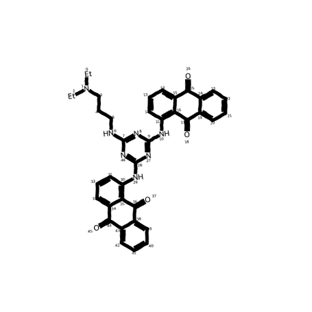 CCN(CC)CCCNc1nc(Nc2cccc3c2C(=O)c2ccccc2C3=O)nc(Nc2cccc3c2C(=O)c2ccccc2C3=O)n1